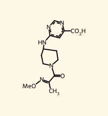 CON=C(C)C(=O)N1CCC(Nc2cc(C(=O)O)ncn2)CC1